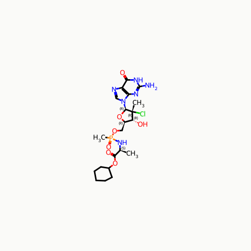 C[C@H](NP(C)(=O)OC[C@H]1O[C@@H](n2cnc3c(=O)[nH]c(N)nc32)[C@](C)(Cl)[C@@H]1O)C(=O)OC1CCCCC1